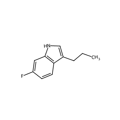 CCCc1c[nH]c2cc(F)ccc12